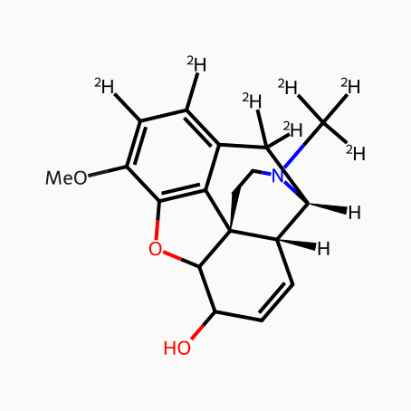 [2H]c1c([2H])c2c3c(c1OC)OC1C(O)C=C[C@H]4[C@H](N(C([2H])([2H])[2H])CC[C@]314)C2([2H])[2H]